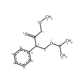 COCC(=O)N(COC(C)C)c1ccccc1